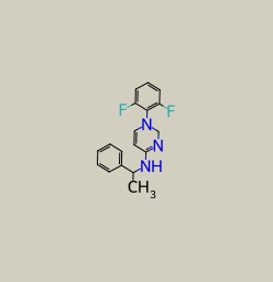 CC(NC1=NCN(c2c(F)cccc2F)C=C1)c1ccccc1